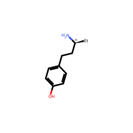 CC[C@H](N)CCc1ccc(O)cc1